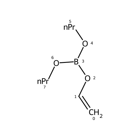 C=COB(OCCC)OCCC